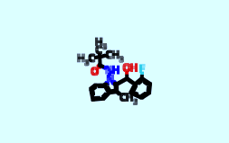 Cc1c(C(O)c2ccccc2F)n(NC(=O)C(C)(C)C)c2ccccc12